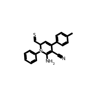 Cc1ccc(C2=CC(C=S)N(c3ccccc3)C(N)=C2C#N)cc1